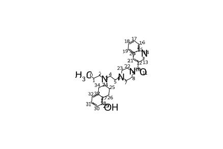 CCCN(CCN1CCN(C(=O)c2cnc3ccccc3c2)CC1)C1CCc2c(O)cccc2C1